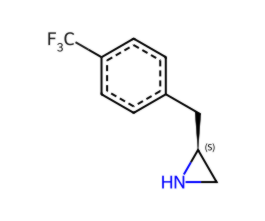 FC(F)(F)c1ccc(C[C@H]2CN2)cc1